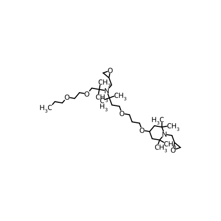 CCCOCCOCC(C)(C)N(CC1CO1)C(C)(C)CCOCCCOC1CC(C)(C)N(CC2CO2)C(C)(C)C1